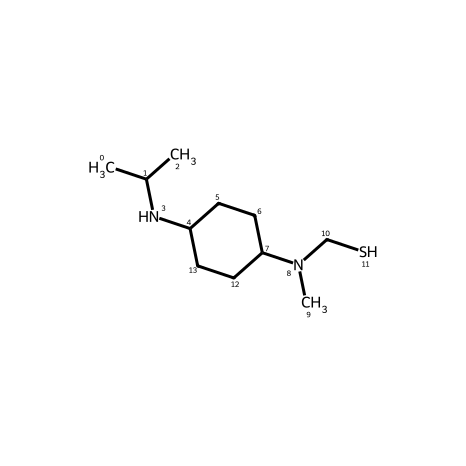 CC(C)NC1CCC(N(C)CS)CC1